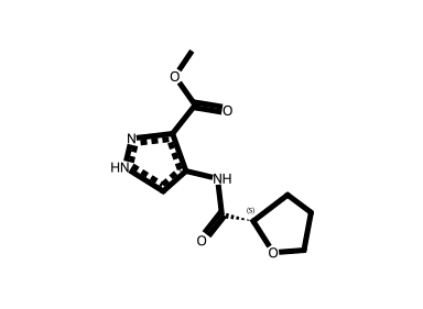 COC(=O)c1n[nH]cc1NC(=O)[C@@H]1CCCO1